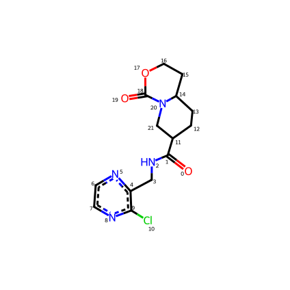 O=C(NCc1nccnc1Cl)C1CCC2CCOC(=O)N2C1